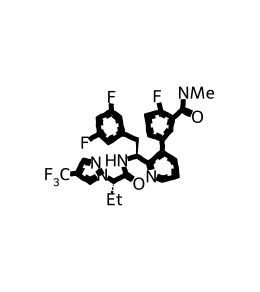 CC[C@@H](C(=O)N[C@@H](Cc1cc(F)cc(F)c1)c1ncccc1-c1ccc(F)c(C(=O)NC)c1)n1cc(C(F)(F)F)cn1